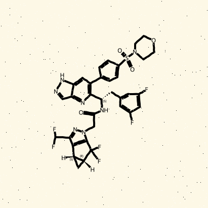 O=C(Cn1nc(C(F)F)c2c1C(F)(F)[C@@H]1C[C@H]21)N[C@@H](Cc1cc(F)cc(F)c1)c1nc2cn[nH]c2cc1-c1ccc(S(=O)(=O)N2CCOCC2)cc1